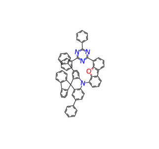 c1ccc(-c2ccc3c(c2)C2(c4ccccc4-c4ccccc42)c2cc(-c4ccccc4)ccc2N3c2cccc3c2oc2c(-c4nc(-c5ccccc5)nc(-c5ccccc5)n4)cccc23)cc1